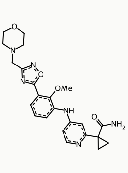 COc1c(Nc2ccnc(C3(C(N)=O)CC3)c2)cccc1-c1nc(CN2CCOCC2)no1